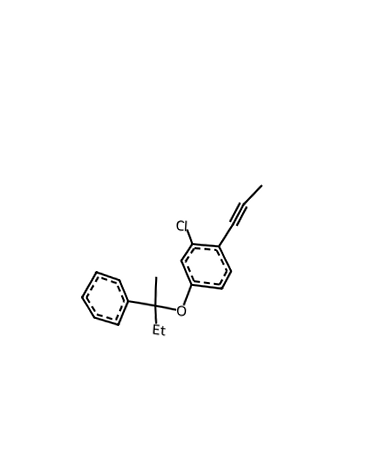 CC#Cc1ccc(OC(C)(CC)c2ccccc2)cc1Cl